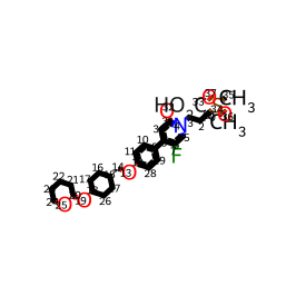 C[C@@](CCn1cc(F)c(-c2ccc(OC[C@H]3CC[C@H](OC4CCCCO4)CC3)cc2)cc1=O)(C(=O)O)S(C)(=O)=O